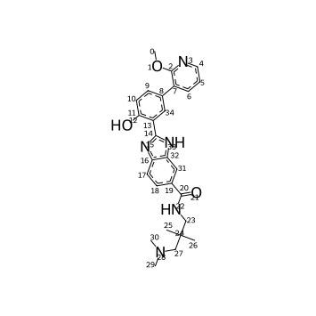 COc1ncccc1-c1ccc(O)c(-c2nc3ccc(C(=O)NCC(C)(C)CN(C)C)cc3[nH]2)c1